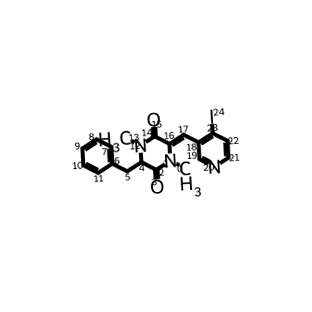 CN1C(=O)C(Cc2ccccc2)N(C)C(=O)C1=Cc1cnccc1I